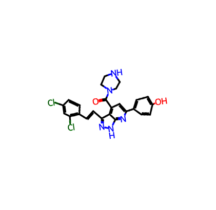 O=C(c1cc(-c2ccc(O)cc2)nc2[nH]nc(C=Cc3ccc(Cl)cc3Cl)c12)N1CCNCC1